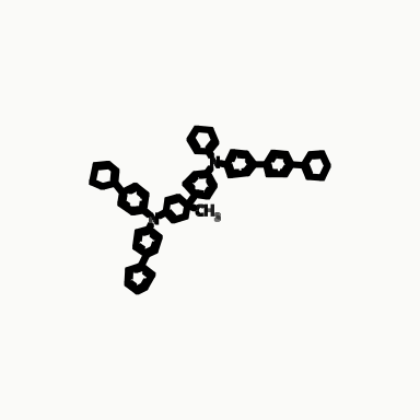 CC1(c2ccc(N(C3=CCCC=C3)c3ccc(-c4ccc(C5=CCCC=C5)cc4)cc3)cc2)C=CC(N(c2ccc(C3=CC=CCC3)cc2)c2ccc(-c3ccccc3)cc2)=CC1